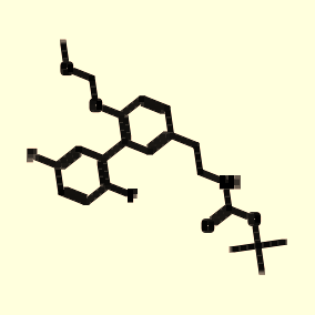 COCOc1ccc(CCNC(=O)OC(C)(C)C)cc1-c1cc(F)ccc1F